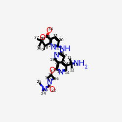 C[C@@H]1c2nc(Nc3cc4c(C(C)(C)N)cnc(OC5CN(C(=O)N(C)C)C5)c4cn3)ccc2C(=O)OC1(C)C